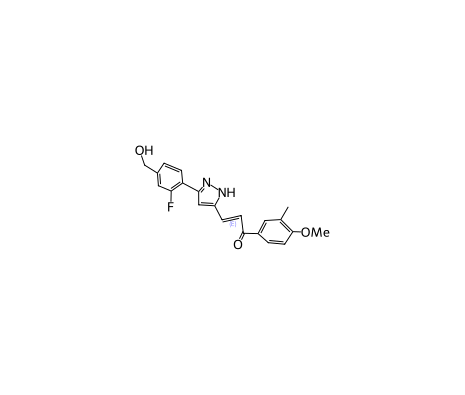 COc1ccc(C(=O)/C=C/c2cc(-c3ccc(CO)cc3F)n[nH]2)cc1C